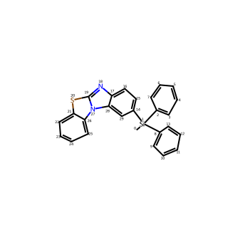 C[Si](c1ccccc1)(c1ccccc1)c1ccc2nc3sc4ccccc4n3c2c1